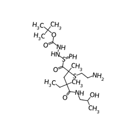 CCC(C)(CC(C)(SCCN)C(=O)S(=P)NNC(=O)OC(C)(C)C)C(=O)NCC(C)O